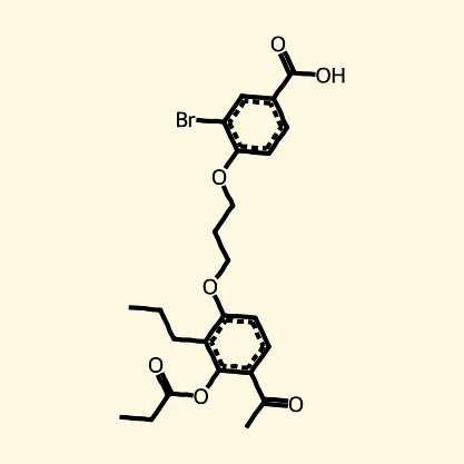 CCCc1c(OCCCOc2ccc(C(=O)O)cc2Br)ccc(C(C)=O)c1OC(=O)CC